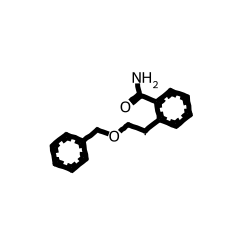 NC(=O)c1ccccc1[CH]COCc1ccccc1